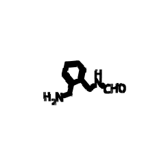 NCc1ccccc1CNC=O